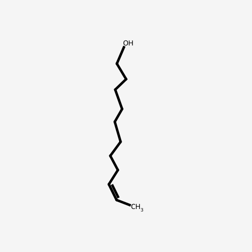 C/C=C\CCCCCCCCO